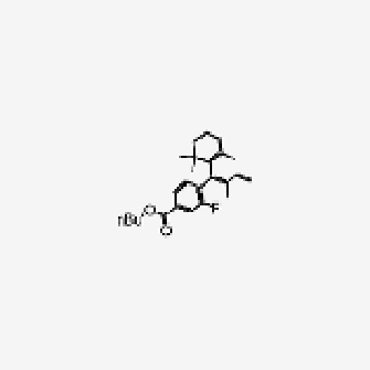 C=C/C(C)=C(\C1=C(C)CCCC1(C)C)c1ccc(C(=O)OCCCC)cc1F